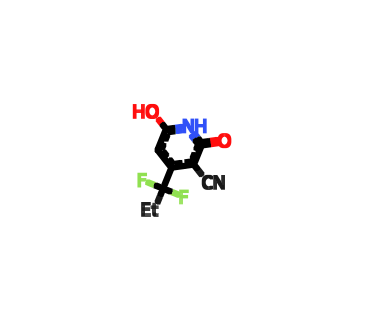 CCC(F)(F)c1cc(O)[nH]c(=O)c1C#N